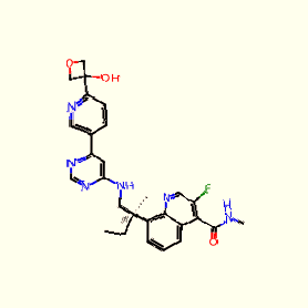 CC[C@@](C)(CNc1cc(-c2ccc(C3(O)COC3)nc2)ncn1)c1cccc2c(C(=O)NC)c(F)cnc12